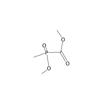 COC(=O)P(C)(=O)OC